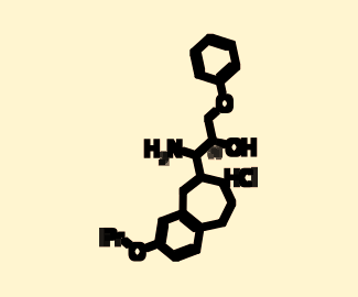 CC(C)Oc1ccc2c(c1)CC(C(N)[C@H](O)COc1ccccc1)CCC2.Cl